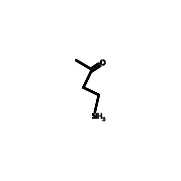 CC(=O)CC[SiH3]